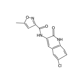 Cc1cc(C(=O)Nc2cc3cc(Cl)ccc3[nH]c2=O)no1